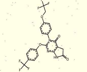 O=C1Cc2c(nc(Oc3ccc(C(F)(F)F)cc3)n(-c3ccc(OCC(F)(F)F)cc3)c2=O)N1